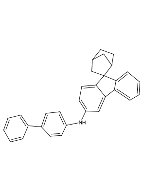 c1ccc(-c2ccc(Nc3ccc4c(c3)-c3ccccc3C43CC4CCC3C4)cc2)cc1